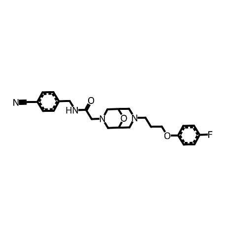 N#Cc1ccc(CNC(=O)CN2CC3CN(CCCOc4ccc(F)cc4)CC(C2)O3)cc1